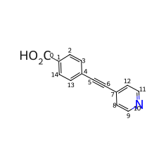 O=C(O)c1ccc(C#Cc2ccncc2)cc1